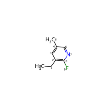 CCc1cc(C)cnc1F